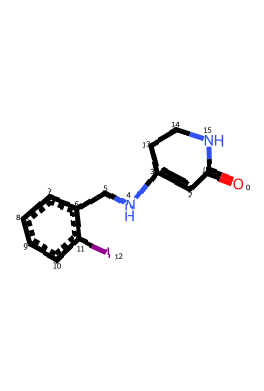 O=C1C=C(NCc2ccccc2I)CCN1